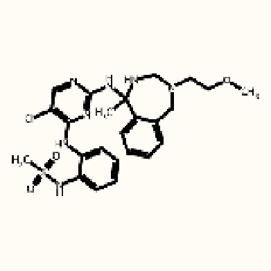 COCCN1CNC(C)(Nc2ncc(Cl)c(Nc3ccccc3NS(C)(=O)=O)n2)c2ccccc2C1